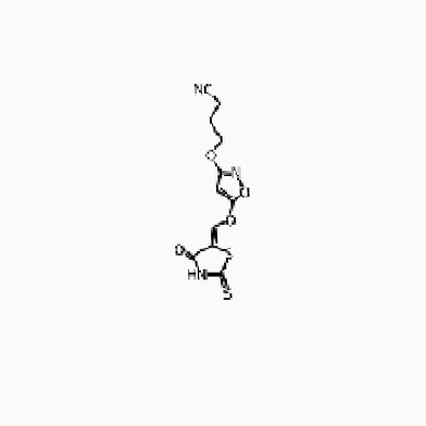 N#CCCCOc1cc(OC=C2SC(=S)NC2=O)on1